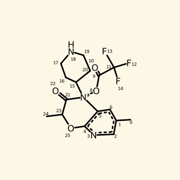 Cc1cnc2c(c1)[N+](OC(=O)C(F)(F)F)(C1CCNCC1)C(=O)C(C)O2